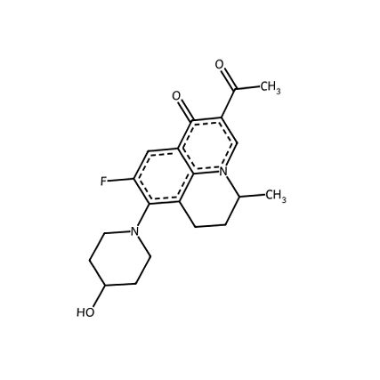 CC(=O)c1cn2c3c(c(N4CCC(O)CC4)c(F)cc3c1=O)CCC2C